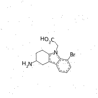 NC1CCc2c(c3cccc(Br)c3n2CC(=O)O)C1